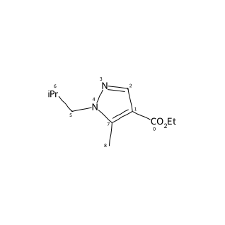 CCOC(=O)c1cnn(CC(C)C)c1C